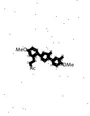 COc1ccc(-c2ccc(-c3ccc(OC)c(C)c3)c(C)c2)c(CCC(C)=O)c1